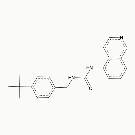 CC(C)(C)c1ccc(CNC(=O)Nc2cccc3cnccc23)cn1